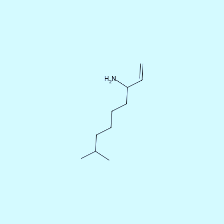 C=CC(N)CCCCC(C)C